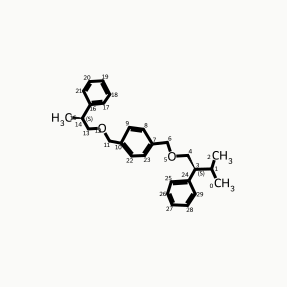 CC(C)[C@H](COCc1ccc(COC[C@@H](C)c2ccccc2)cc1)c1ccccc1